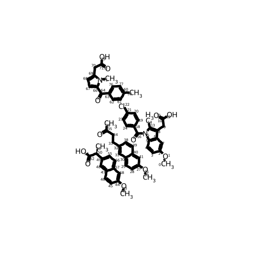 COc1ccc2c(c1)c(CC(=O)O)c(C)n2C(=O)c1ccc(Cl)cc1.COc1ccc2cc(CCC(C)=O)ccc2c1.COc1ccc2cc([C@H](C)C(=O)O)ccc2c1.Cc1ccc(C(=O)c2ccc(CC(=O)O)n2C)cc1